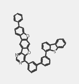 c1ccc(-c2ccc3c(c2)oc2cc4oc5c(-c6cccc(-c7cccc(-c8cccc9c8sc8ccccc89)c7)c6)ncnc5c4cc23)cc1